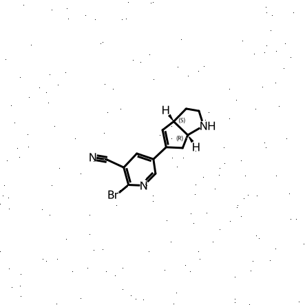 N#Cc1cc(C2=C[C@@H]3CCN[C@@H]3C2)cnc1Br